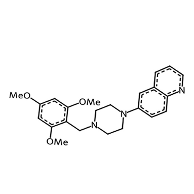 COc1cc(OC)c(CN2CCN(c3ccc4ncccc4c3)CC2)c(OC)c1